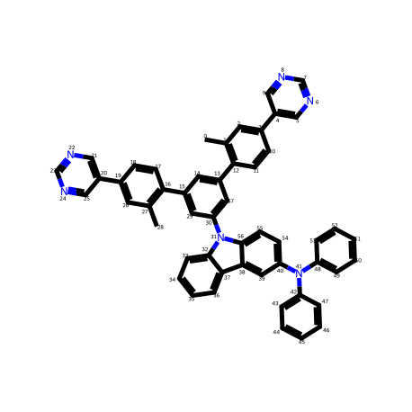 Cc1cc(-c2cncnc2)ccc1-c1cc(-c2ccc(-c3cncnc3)cc2C)cc(-n2c3ccccc3c3cc(N(c4ccccc4)c4ccccc4)ccc32)c1